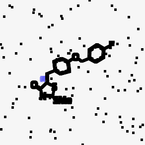 CSC1=NC(=O)/C(=C/c2ccc(OCc3ccc(F)cc3)cc2)S1